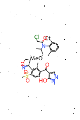 CCc1cccc(C)c1N(C(=O)CCl)C(C)COC.Cc1c(C(=O)c2cnn(C)c2O)ccc(S(C)(=O)=O)c1C1=NOCC1